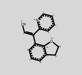 N#CC=C(c1ccccn1)c1cccc2c1OCC2